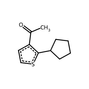 CC(=O)c1ccsc1C1CCCC1